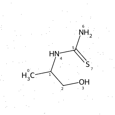 CC(CO)NC(N)=S